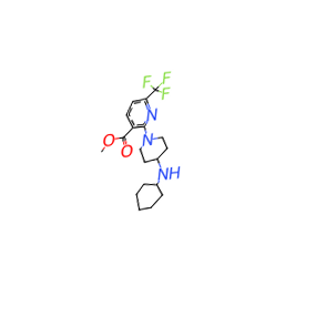 COC(=O)c1ccc(C(F)(F)F)nc1N1CCC(NC2CCCCC2)CC1